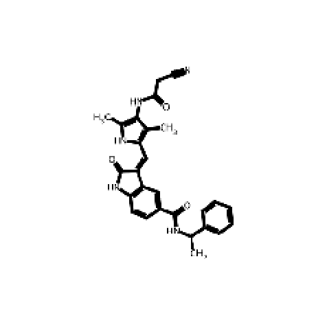 Cc1[nH]c(/C=C2\C(=O)Nc3ccc(C(=O)N[C@H](C)c4ccccc4)cc32)c(C)c1NC(=O)CC#N